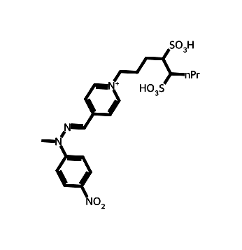 CCCC(C(CCC[n+]1ccc(C=NN(C)c2ccc([N+](=O)[O-])cc2)cc1)S(=O)(=O)O)S(=O)(=O)O